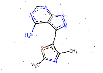 Cc1nc(C)c(-c2n[nH]c3ncnc(N)c23)s1